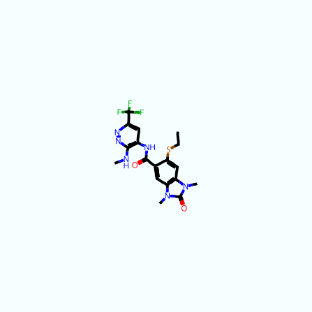 CCSc1cc2c(cc1C(=O)Nc1cc(C(F)(F)F)nnc1NC)n(C)c(=O)n2C